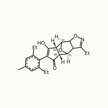 CCC1=NOC2C1[C@@H]1O[C@H]2[C@H]2C(O)=C(c3c(CC)cc(C)cc3CC)C(=O)[C@H]21